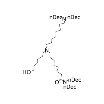 CCCCCCCCCCN(CCCCCCCCCC)CCCCCCCCN(CCCCCCO)CCCCCCCC(=O)N(CCCCCCCCCC)CCCCCCCCCC